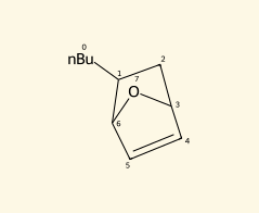 CCCCC1CC2C=CC1O2